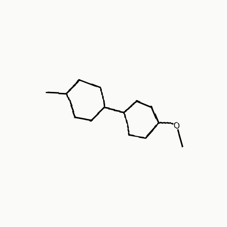 COC1CCC(C2CCC(C)CC2)CC1